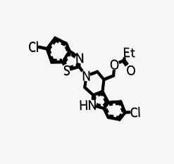 CCC(=O)OCC1CN(c2nc3ccc(Cl)cc3s2)Cc2[nH]c3ccc(Cl)cc3c21